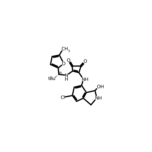 Cc1ccc([C@H](Nc2c(Nc3cc(Cl)cc4c3C(O)NC4)c(=O)c2=O)C(C)(C)C)o1